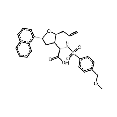 C=CC[C@@H]1O[C@@H](c2cccc3ccccc23)CC1[C@H](NS(=O)(=O)c1ccc(COC)cc1)C(=O)O